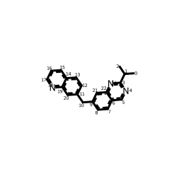 CC(C)c1ncc2ccc(Cc3ccc4cccnc4c3)cc2n1